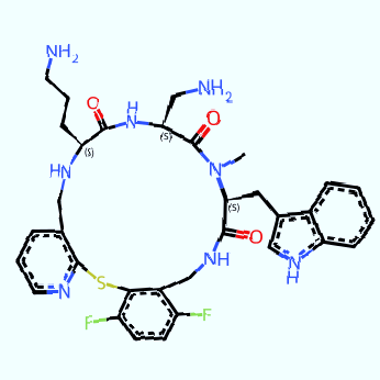 CN1C(=O)[C@H](CN)NC(=O)[C@H](CCCN)NCc2cccnc2Sc2c(F)ccc(F)c2CNC(=O)[C@@H]1Cc1c[nH]c2ccccc12